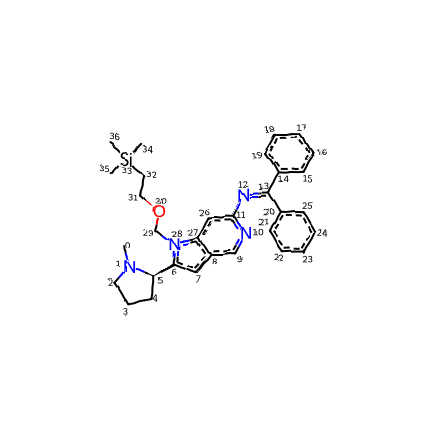 CN1CCC[C@@H]1c1cc2cnc(N=C(c3ccccc3)c3ccccc3)cc2n1COCC[Si](C)(C)C